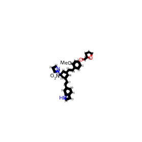 COc1cc(OCC2CCCO2)ccc1C=CC1=CC(n2cccn2)([N+](=O)[O-])CC(C=Cc2ccc3cc[nH]c3c2)=C1